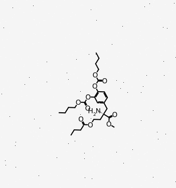 CCCCOC(=O)Oc1ccc(C[C@](N)(CCOC(=O)CCC)C(=O)OC)cc1OC(=O)OCCCC